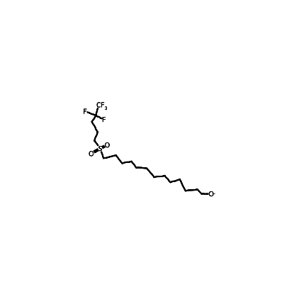 [O]CCCCCCCCCCCCCS(=O)(=O)CCCC(F)(F)C(F)(F)F